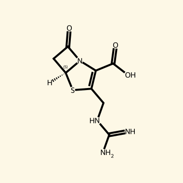 N=C(N)NCC1=C(C(=O)O)N2C(=O)C[C@@H]2S1